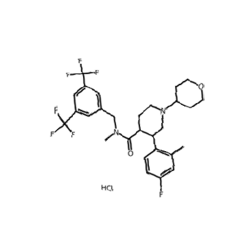 Cc1cc(F)ccc1C1CN(C2CCOCC2)CCC1C(=O)N(C)Cc1cc(C(F)(F)F)cc(C(F)(F)F)c1.Cl